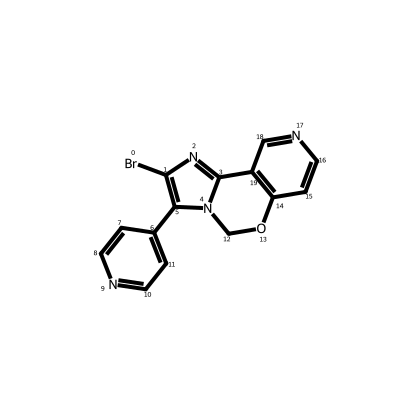 Brc1nc2n(c1-c1ccncc1)COc1ccncc1-2